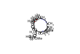 [2H]C([2H])([2H])O[C@H]1C[C@@H]2CC([2H])([2H])[C@@H](C)[C@@](O)(O2)C(=O)C(=O)N2CCCC[C@H]2C(=O)O[C@H]([C@H](C)C[C@@H]2CC[C@@H](OC([2H])([2H])CO)[C@H](OC)C2)CC(=O)[C@H](C)/C=C(\C)[C@@H](O)[C@@H](OC)C(=C)[C@H](C)C[C@H](C)/C=C/C=C/C=C/1C